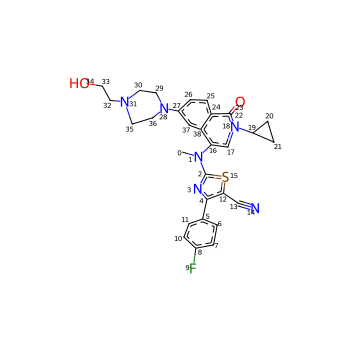 CN(c1nc(-c2ccc(F)cc2)c(C#N)s1)c1cn(C2CC2)c(=O)c2ccc(N3CCN(CCO)CC3)cc12